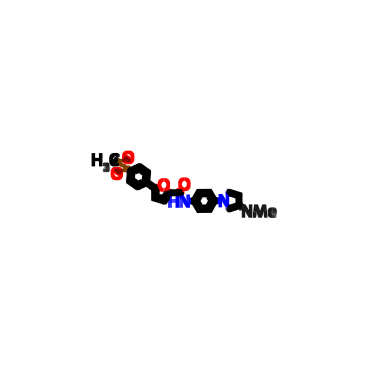 CNC1CCN(c2ccc(NC(=O)c3ccc(-c4ccc(S(C)(=O)=O)cc4)o3)cc2)C1